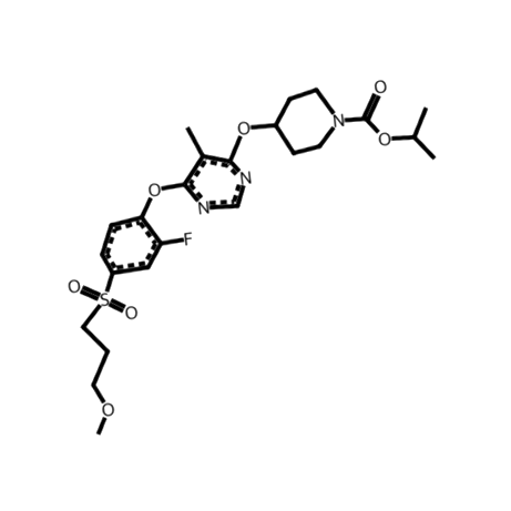 COCCCS(=O)(=O)c1ccc(Oc2ncnc(OC3CCN(C(=O)OC(C)C)CC3)c2C)c(F)c1